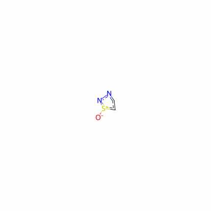 [O-][s+]1ccnn1